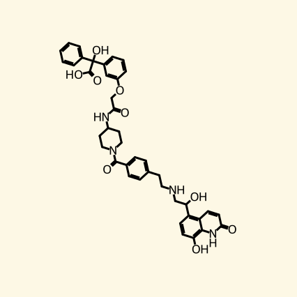 O=C(COc1cccc(C(O)(C(=O)O)c2ccccc2)c1)NC1CCN(C(=O)c2ccc(CCNCC(O)c3ccc(O)c4[nH]c(=O)ccc34)cc2)CC1